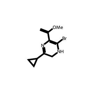 C=C(OC)C1=C(Br)NCC(C2CC2)=N1